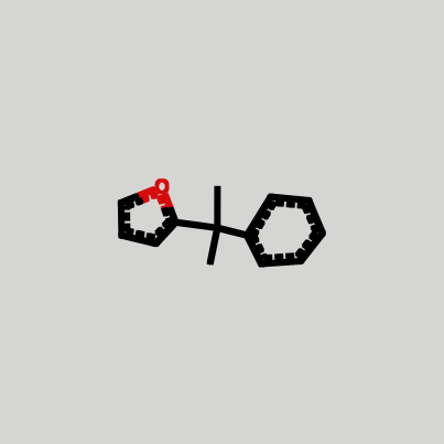 CC(C)(c1ccccc1)c1ccco1